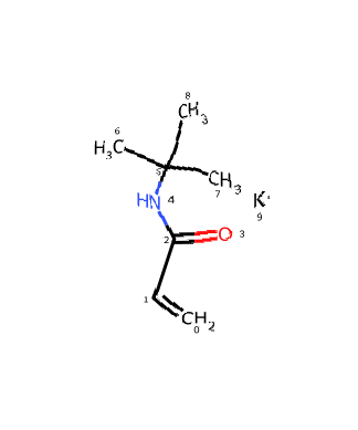 C=CC(=O)NC(C)(C)C.[K]